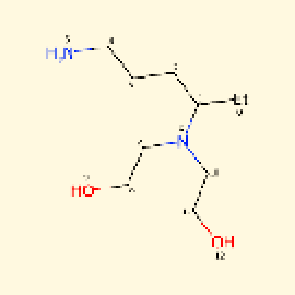 CCC(CCCN)N(CCO)CCO